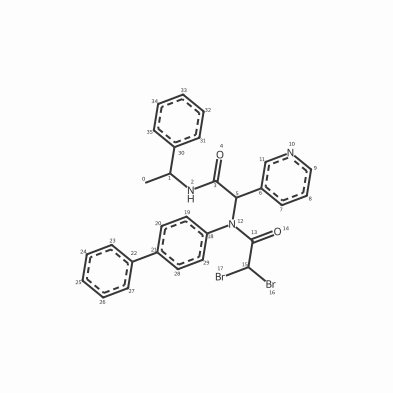 CC(NC(=O)C(c1cccnc1)N(C(=O)C(Br)Br)c1ccc(-c2ccccc2)cc1)c1ccccc1